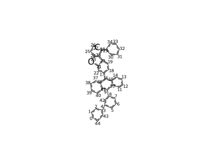 c1ccc(-c2cccc(-c3c4ccccc4c(-c4ccc5c(c4)oc4cccc(-c6ccccc6)c45)c4ccccc34)c2)cc1